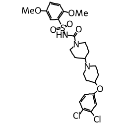 COc1ccc(OC)c(S(=O)(=O)NC(=O)N2CCC(N3CCC(Oc4ccc(Cl)c(Cl)c4)CC3)CC2)c1